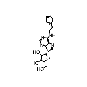 OC[C@H]1O[C@@H](n2cnc3c(NCCN4CC=CC4)ncnc32)[C@H](O)[C@@H]1O